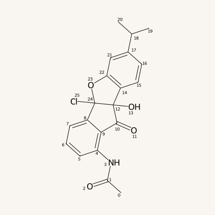 CC(=O)Nc1cccc2c1C(=O)C1(O)c3ccc(C(C)C)cc3OC21Cl